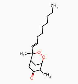 CCCCCCCC=CC1(C)OOC2CC1CC(=O)C2C